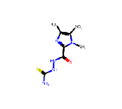 Cc1nc(C(=O)NNC(N)=S)n(C)c1[N+](=O)[O-]